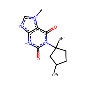 CCCC1CCC(CCC)(n2c(=O)[nH]c3ncn(C)c3c2=O)C1